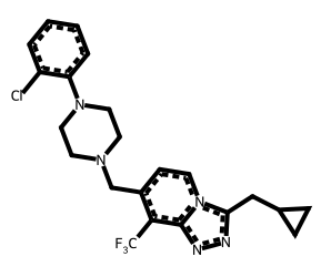 FC(F)(F)c1c(CN2CCN(c3ccccc3Cl)CC2)ccn2c(CC3CC3)nnc12